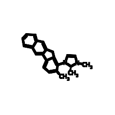 Cc1ccc2c(c1N1C=CN(C)[C@@H]1C)Cc1cc3ccccc3cc1-2